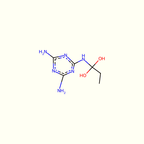 CCC(O)(O)Nc1nc(N)nc(N)n1